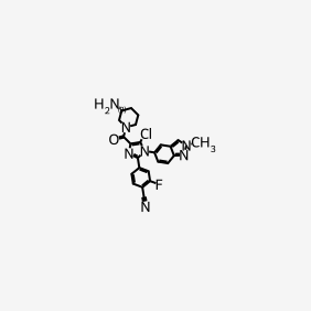 Cn1cc2cc(-n3c(-c4ccc(C#N)c(F)c4)nc(C(=O)N4CCC[C@@H](N)C4)c3Cl)ccc2n1